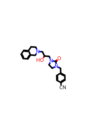 N#Cc1ccc(CN2CCN(CC(O)CN3CCc4ccccc4C3)C2=O)cc1